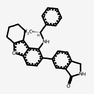 C[C@@H](Nc1c(-c2ccc3c(c2)C(=O)NC3)ccc2oc3c(c12)CCCC3)c1ccccc1